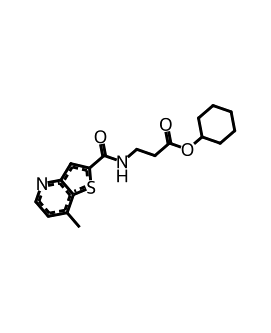 Cc1ccnc2cc(C(=O)NCCC(=O)OC3CCCCC3)sc12